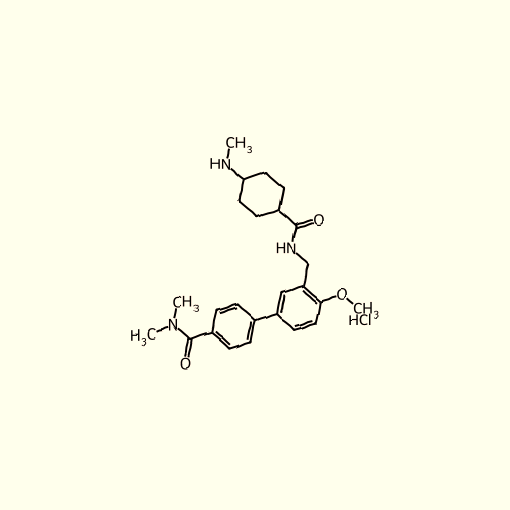 CNC1CCC(C(=O)NCc2cc(-c3ccc(C(=O)N(C)C)cc3)ccc2OC)CC1.Cl